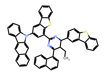 CCC1C(c2cccc3ccccc23)=NC(c2cc(-n3c4ccccc4c4cc5ccccc5cc43)cc3c2sc2ccccc23)=NC1c1ccc2sc3ccccc3c2c1